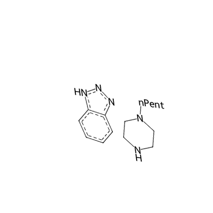 CCCCCN1CCNCC1.c1ccc2[nH]nnc2c1